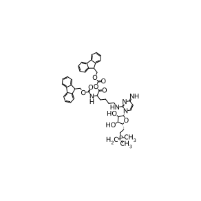 C=P(C)(C)CC[C@H]1O[C@@H](n2ccc(=N)nc2NCCCCC(NC(=O)OCC2c3ccccc3-c3ccccc32)C(=O)OC(=O)OCC2c3ccccc3-c3ccccc32)[C@H](O)[C@@H]1O